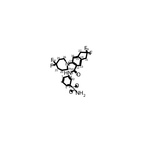 NS(=O)(=O)c1cccc(NC(=O)c2cc3c(cc2N2CCCC(F)(F)CC2)CC(F)(F)C3)c1